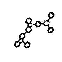 C1#CC(c2ccc3c4ccccc4n(-c4ccccc4)c3c2)Cc2c1n(-c1ccc(C3C=C(c4ccccc4)N=C(c4ccccc4)N3)cc1)c1ccccc21